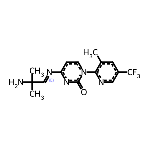 Cc1cc(C(F)(F)F)cnc1-n1ccc(/N=C/C(C)(C)N)nc1=O